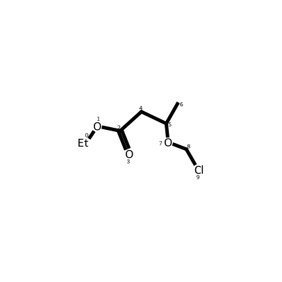 CCOC(=O)CC(C)OCCl